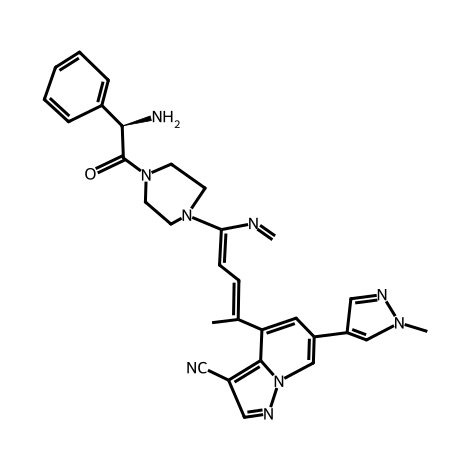 C=N/C(=C\C=C(/C)c1cc(-c2cnn(C)c2)cn2ncc(C#N)c12)N1CCN(C(=O)[C@H](N)c2ccccc2)CC1